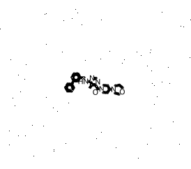 Cc1c(NCc2cccc(-c3ccccc3)c2)ncnc1C(=O)N1CCC(N2CCCOCC2)CC1